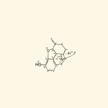 C=C1CC[C@H]2C3Cc4ccc(O)c5c4[C@@]2(CCN3C)C1O5